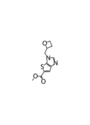 COC(=O)c1cc2ncn(CC3CCO3)c2s1